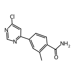 Cc1cc(-c2cc(Cl)ncn2)ccc1C(N)=O